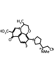 CN[C@H](CC#N)C1CCN(c2c(F)cc3c(=O)c(C(=O)O)cn4c3c2OCC4C)C1